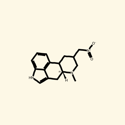 CN1CC(C[N+](=O)[O-])CC2c3cccc4[nH]cc(c34)C[C@H]21